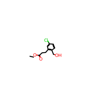 CCOC(=O)CCc1cc(Cl)ccc1CO